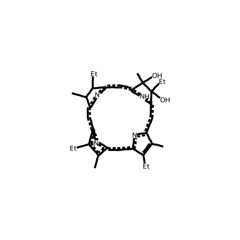 CCC1=C(C)c2cc3[nH]c(cc4nc(cc5[nH]c(cc1n2)c(C)c5CC)C(C)C4CC)C(C)(O)C3(O)CC